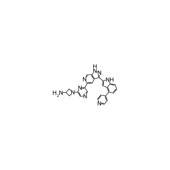 NC1CN(c2cncc(-c3cc4c(-c5cc6c(-c7ccncc7)cccc6[nH]5)n[nH]c4cn3)n2)C1